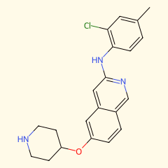 Cc1ccc(Nc2cc3cc(OC4CCNCC4)ccc3cn2)c(Cl)c1